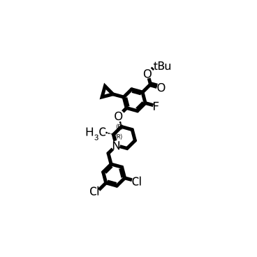 C[C@@H]1[C@H](Oc2cc(F)c(C(=O)OC(C)(C)C)cc2C2CC2)CCCN1Cc1cc(Cl)cc(Cl)c1